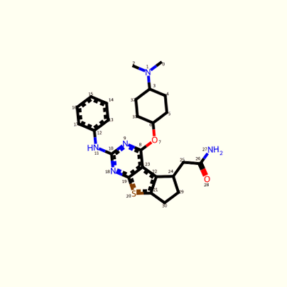 CN(C)C1CCC(Oc2nc(Nc3ccccc3)nc3sc4c(c23)C(CC(N)=O)CC4)CC1